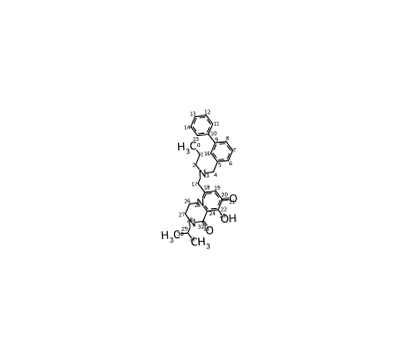 CCCN(Cc1cccc(-c2ccccc2)c1)Cc1cc(=O)c(O)c2n1CCN(C(C)C)C2=O